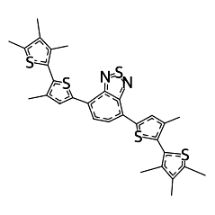 Cc1cc(-c2ccc(-c3cc(C)c(-c4sc(C)c(C)c4C)s3)c3nsnc23)sc1-c1sc(C)c(C)c1C